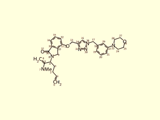 C=CCCC(C(=C)NC)N1Cc2c(OCc3cn(Cc4cccc(N5CCOCC5)c4)nn3)cccc2C1=O